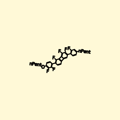 CCCCCOc1ccc(-c2ccc3c(c2F)-c2c-3cc(-c3ccc(CCCCC)cc3F)c(F)c2F)c(F)c1F